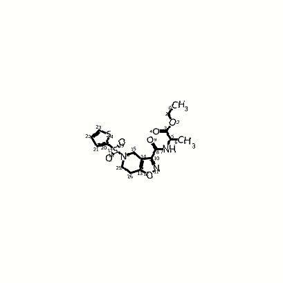 CCOC(=O)C(C)NC(=O)c1noc2c1CN(S(=O)(=O)c1cccs1)CC2